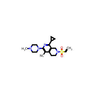 C=CS(=O)(=O)N1CCc2c(C#N)c(N3CCN(C)CC3)nc(C3CC3)c2C1